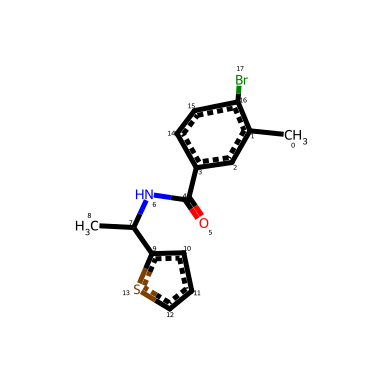 Cc1cc(C(=O)NC(C)c2cccs2)ccc1Br